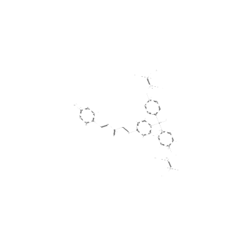 CC(c1ccc(C=CC(=O)C=Cc2ccc(Cl)cc2)cc1)(c1ccc(OC(F)=C(F)F)cc1)c1ccc(OC(F)=C(F)F)cc1